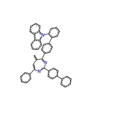 C=C1C=C(c2ccccc2)N=C(c2ccc(-c3ccccc3)cc2)N=C1c1ccc(-c2ccccc2-n2c3ccccc3c3ccccc32)cc1